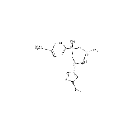 Cc1ccc([C@@]2(O)C[C@@H](c3cn(C)nn3)N[C@@H](C)C2)cn1